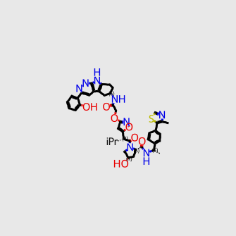 Cc1ncsc1-c1ccc([C@H](C)NC(=O)[C@@H]2C[C@@H](O)CN2C(=O)[C@@H](c2cc(OCC(=O)N[C@H]3CCc4[nH]c5nnc(-c6ccccc6O)cc5c4C3)no2)C(C)C)cc1